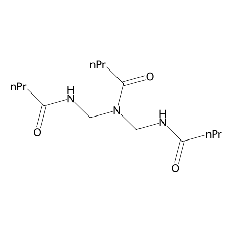 CCCC(=O)NCN(CNC(=O)CCC)C(=O)CCC